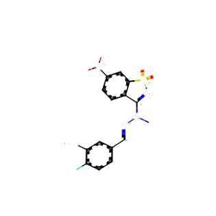 COc1cc(/C=N/N(C)C2=NS(=O)(=O)c3cc(B(O)O)ccc32)ccc1F